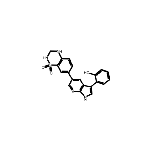 O=S1(=O)NCNc2ccc(-c3cnc4[nH]cc(-c5ccccc5O)c4c3)cc21